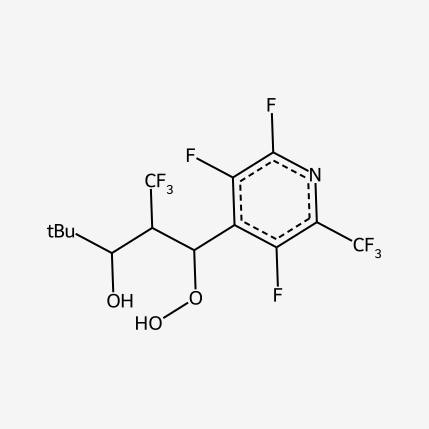 CC(C)(C)C(O)C(C(OO)c1c(F)c(F)nc(C(F)(F)F)c1F)C(F)(F)F